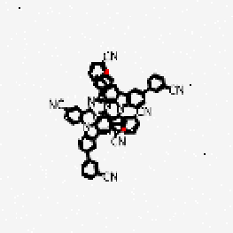 N#Cc1cccc(-c2ccc3c(c2)c2cc(-c4cccc(C#N)c4)ccc2n3-c2ccc(C#N)cc2-c2nc(-c3ccccc3)nc(-c3cc(C#N)ccc3-n3c4ccc(-c5cccc(C#N)c5)cc4c4cc(-c5cccc(C#N)c5)ccc43)n2)c1